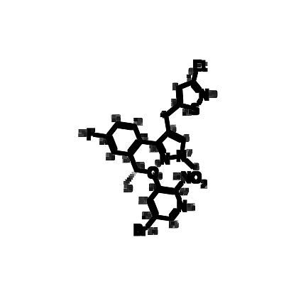 CCc1cc(Cc2cn(C)nc2-c2ccc(F)cc2[C@@H](C)Oc2cc(Br)cnc2[N+](=O)[O-])sn1